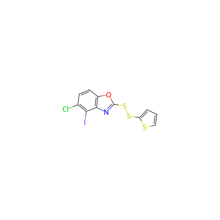 Clc1ccc2oc(SSc3cccs3)nc2c1I